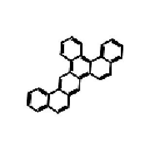 c1ccc2c(c1)ccc1cc3c(cc12)c1ccccc1c1c2ccccc2ccc31